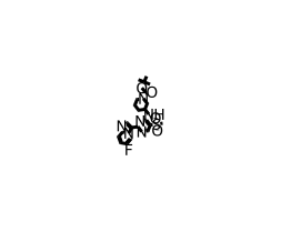 CC(C)(C)OC(=O)N1CCCC(Nc2nc(-c3cnc4ccc(F)cn34)ncc2S(C)(=O)=O)C1